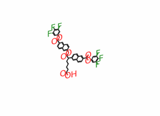 O=C(O)CCCCC(C(=O)Oc1ccc2cc(C(=O)Oc3cc(F)c(F)c(F)c3)ccc2c1)c1ccc2cc(C(=O)Oc3cc(F)c(F)c(F)c3)ccc2c1